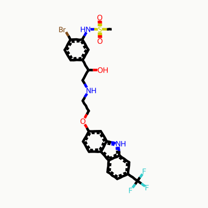 CS(=O)(=O)Nc1cc(C(O)CNCCOc2ccc3c(c2)[nH]c2cc(C(F)(F)F)ccc23)ccc1Br